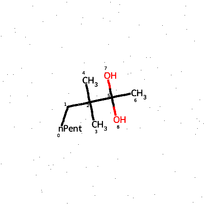 CCCCCCC(C)(C)C(C)(O)O